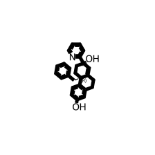 Oc1ccc2c(c1)CCC1=C[C@@](O)(c3ccccn3)CC[C@@]12Cc1ccccc1